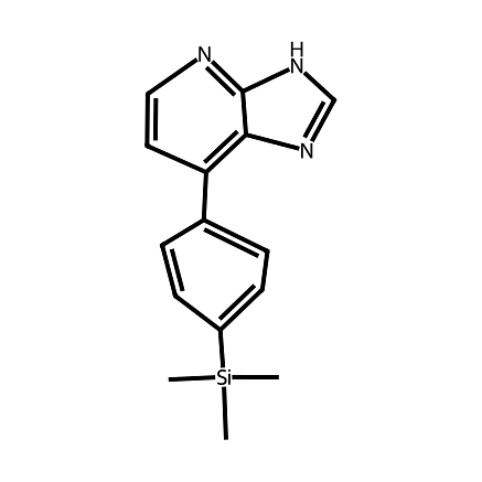 C[Si](C)(C)c1ccc(-c2ccnc3[nH]cnc23)cc1